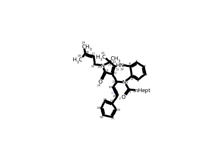 CCCCCCCC(=O)N1c2ccccc2NC2=C(C(=O)N(CC=C(C)C)C2(C)C)C1/C=C/c1ccccc1